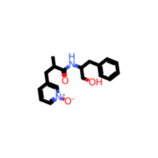 CC(Cc1ccc[n+]([O-])c1)C(=O)NC(CO)Cc1ccccc1